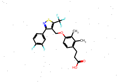 Cc1c(CCC(=O)O)ccc(OCc2c(-c3ccc(F)c(F)c3)nsc2C(F)(F)F)c1C